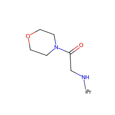 CC(C)NCC(=O)N1CCOCC1